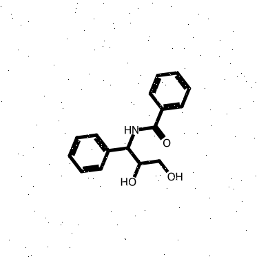 O=C(NC(c1ccccc1)C(O)CO)c1ccccc1